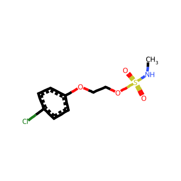 CNS(=O)(=O)OCCOc1ccc(Cl)cc1